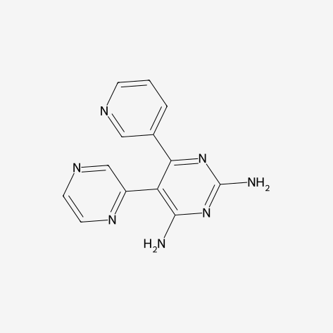 Nc1nc(N)c(-c2cnccn2)c(-c2cccnc2)n1